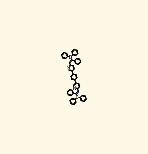 C(=C(\B(c1ccccc1)c1ccccc1)c1ccccc1)/c1ccc(-c2ccc(-c3ccc(/C=C(/B(c4ccccc4)c4ccccc4)c4ccccc4)nc3)cc2)cn1